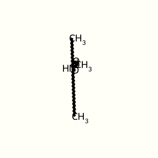 CCCCCCCCCCCCCCCCCCCCCCCCCCC(=O)NC(COC)CC(CCCCCCCCCCCCCC)N=O